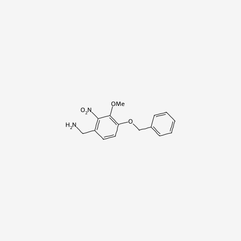 COc1c(OCc2ccccc2)ccc(CN)c1[N+](=O)[O-]